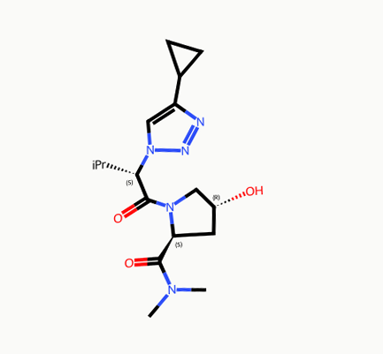 CC(C)[C@@H](C(=O)N1C[C@H](O)C[C@H]1C(=O)N(C)C)n1cc(C2CC2)nn1